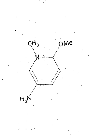 COC1C=CC(N)=CN1C